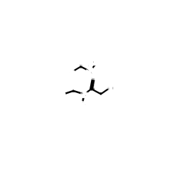 CCCCCCCCCCCC(=O)N(O)CC(=O)O.CCNCC(=O)O